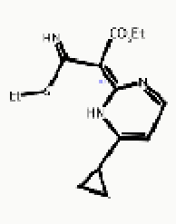 CCOC(=O)/C(C(=N)SCC)=C1\N=CC=C(C2CC2)N1